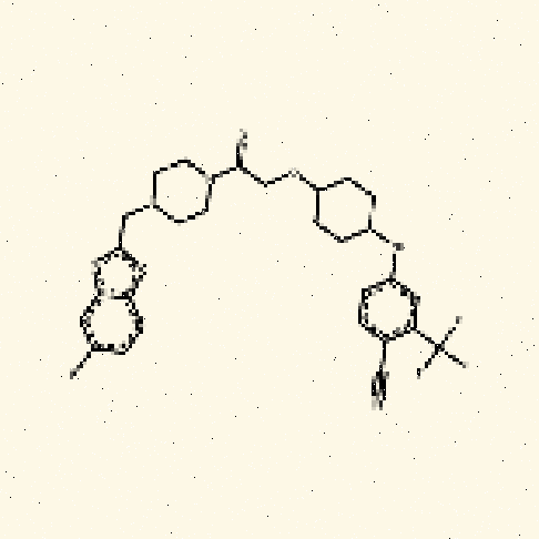 N#Cc1ccc(NC2CCC(OCC(=O)N3CCN(Cc4nc5cc(F)ccc5o4)CC3)CC2)cc1C(F)(F)F